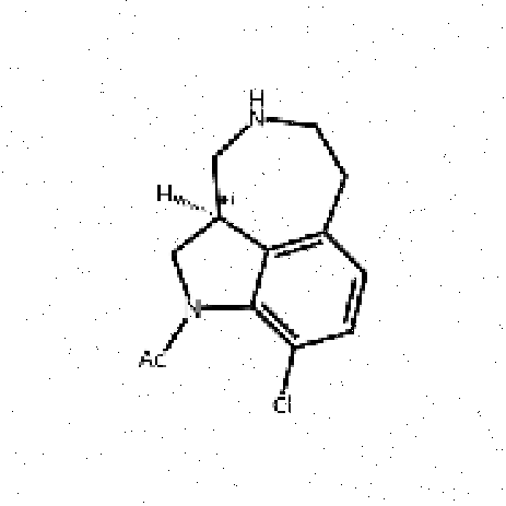 CC(=O)N1C[C@H]2CNCCc3ccc(Cl)c1c32